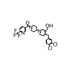 O=C(c1ccc(C(F)(F)F)nc1)N1CCC(N2CC[C@H](Cc3ccc(Cl)c(Cl)c3)[C@H](CO)C2)CC1